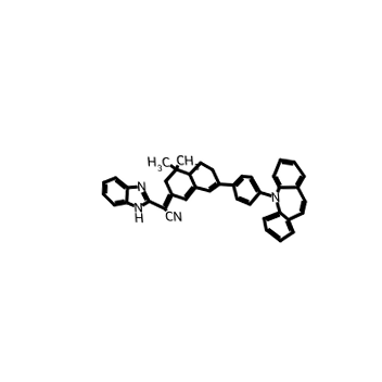 CC1(C)C/C(=C(/C#N)c2nc3ccccc3[nH]2)C=C2C=C(c3ccc(N4c5ccccc5C=Cc5ccccc54)cc3)CCC21